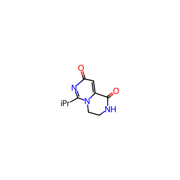 CC(C)c1nc(=O)cc2n1CCNC2=O